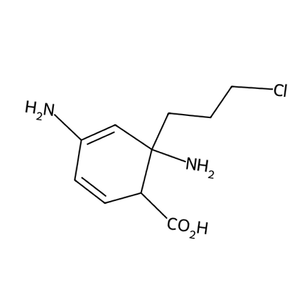 NC1=CC(N)(CCCCl)C(C(=O)O)C=C1